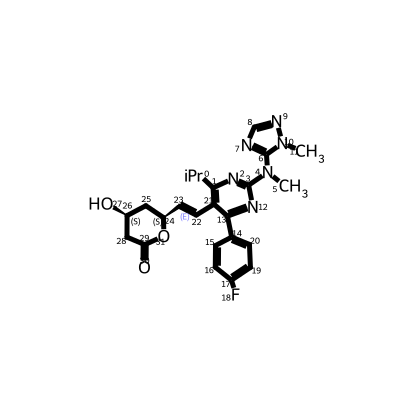 CC(C)c1nc(N(C)c2ncnn2C)nc(-c2ccc(F)cc2)c1/C=C/[C@@H]1C[C@H](O)CC(=O)O1